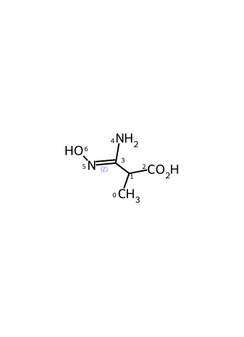 CC(C(=O)O)/C(N)=N/O